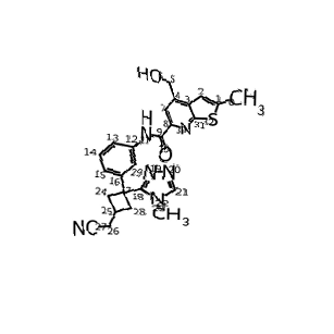 Cc1cc2c(CO)cc(C(=O)Nc3cccc(C4(c5nncn5C)CC(CC#N)C4)c3)nc2s1